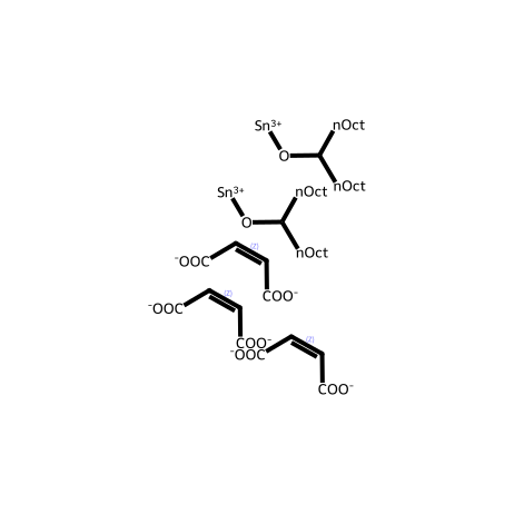 CCCCCCCCC(CCCCCCCC)[O][Sn+3].CCCCCCCCC(CCCCCCCC)[O][Sn+3].O=C([O-])/C=C\C(=O)[O-].O=C([O-])/C=C\C(=O)[O-].O=C([O-])/C=C\C(=O)[O-]